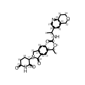 CC(NC(=O)OC(C)c1ccc2c(c1)C(=O)N(C1CCC(=O)NC1=O)C2)c1cnc2c(c1)COCC2